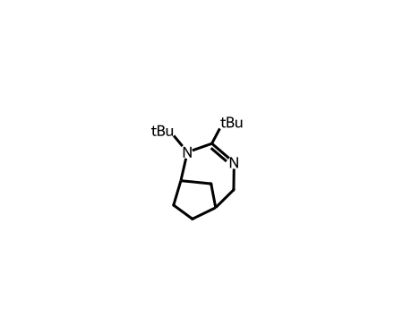 CC(C)(C)C1=NCC2CCC(C2)N1C(C)(C)C